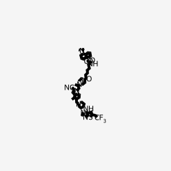 Cc1c(CN2CCC(Nc3ncnc4sc(CC(F)(F)F)cc34)CC2)ccc2c1cc(C#N)n2CC(C)N1CCN(C(=O)CCCCCNS(=O)(=O)c2cccc3c(N(C)C)cccc23)CC1